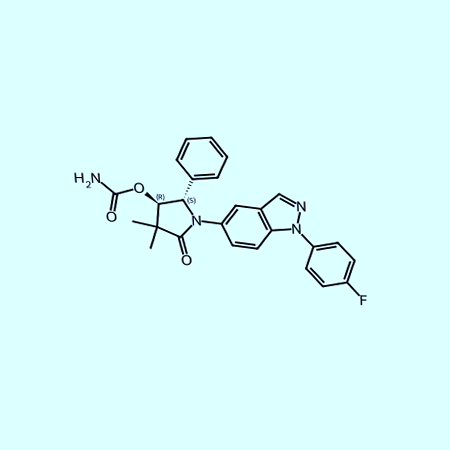 CC1(C)C(=O)N(c2ccc3c(cnn3-c3ccc(F)cc3)c2)[C@@H](c2ccccc2)[C@@H]1OC(N)=O